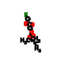 CCCCC(C)(C)OC(=O)COc1ccc2c(c1)OCC(c1ccc(F)cc1)C2=O